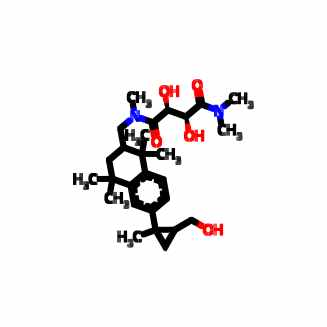 CN(C)C(=O)[C@@H](O)[C@H](O)C(=O)N(C)CC1CC(C)(C)c2cc(C3(C)CC3CO)ccc2C1(C)C